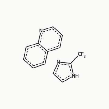 FC(F)(F)c1ncc[nH]1.c1ccc2ncccc2c1